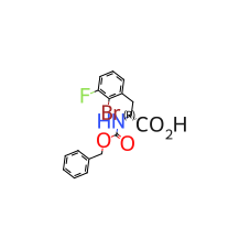 O=C(N[C@H](Cc1cccc(F)c1Br)C(=O)O)OCc1ccccc1